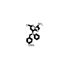 COc1ccc(CN(c2ccccc2)c2cc(Cl)nn3c(N)cnc23)cc1